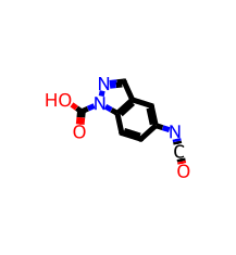 O=C=Nc1ccc2c(cnn2C(=O)O)c1